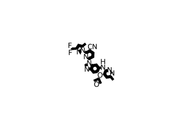 Cc1ccc(Nc2cc3c(cc2OC2COC2)ncn3-c2ccc(C#N)c(-n3nc(C(F)F)cc3C)n2)nn1